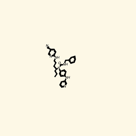 CCCC(CCCNc1ccc(C#N)cn1)N(C(=O)NCc1ccccc1)c1ccc(Nc2cccnc2)cc1